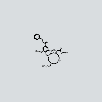 CC(C)(C)OC(=O)CN1CCNCCN(CC(=O)O)CCN(Cc2c(OC(C)(C)C)cc(C(=O)OCc3ccccc3)cc2OC(C)(C)C)CC1